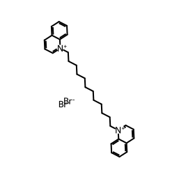 [Br-].[Br-].c1ccc2c(c1)ccc[n+]2CCCCCCCCCCCC[n+]1cccc2ccccc21